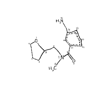 CN(CC1CCCO1)C(=O)c1cccc(N)c1